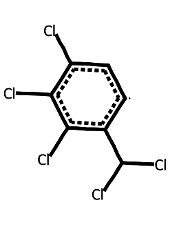 Clc1c[c]c(C(Cl)Cl)c(Cl)c1Cl